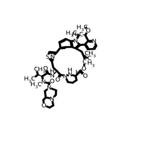 CCn1c(-c2cccnc2[C@H](C)OC)c2c3cc(ccc31)-c1csc(n1)C[C@H](NC(=O)[C@H](C(C)C)N(C)C(=O)N1CCN3CCOCC3C1)C(=O)N1CCC[C@H](N1)C(=O)OCC(C)(C)C2